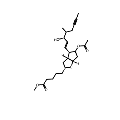 CC#CCC(C)[C@H](O)C=C[C@H]1C(OC(C)=O)C[C@@H]2O[C@@H](CCCCC(=O)OC)C[C@@H]21